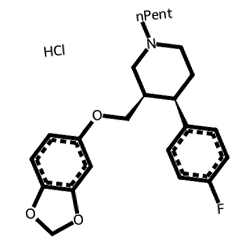 CCCCCN1CC[C@@H](c2ccc(F)cc2)[C@@H](COc2ccc3c(c2)OCO3)C1.Cl